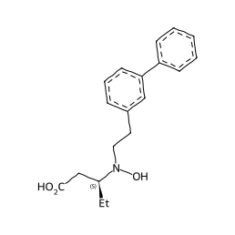 CC[C@@H](CC(=O)O)N(O)CCc1cccc(-c2ccccc2)c1